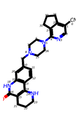 N#Cc1cnc(N2CCN(Cc3ccc4c5c(c(=O)[nH]c4c3)CCCN5)CC2)c2c1CCC2